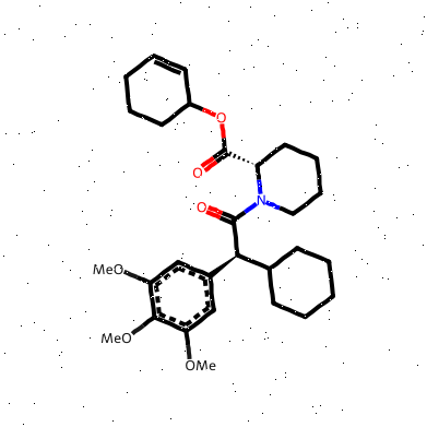 COc1cc([C@@H](C(=O)N2CCCC[C@H]2C(=O)OC2C=CCCC2)C2CCCCC2)cc(OC)c1OC